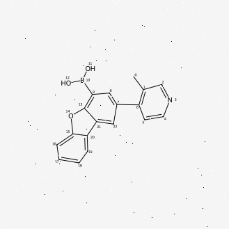 Cc1cnccc1-c1cc(B(O)O)c2oc3ccccc3c2c1